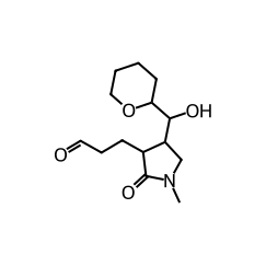 CN1CC(C(O)C2CCCCO2)C(CCC=O)C1=O